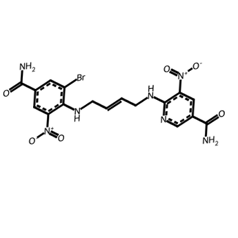 NC(=O)c1cnc(NC/C=C/CNc2c(Br)cc(C(N)=O)cc2[N+](=O)[O-])c([N+](=O)[O-])c1